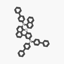 c1ccc(-c2ccc(N(c3ccc(-c4ccccc4)cc3)c3ccc4c(c3)-c3cccc5ccc(N(c6ccc(-c7ccccc7)cc6)c6cccc7ccccc67)c(c35)O4)cc2)cc1